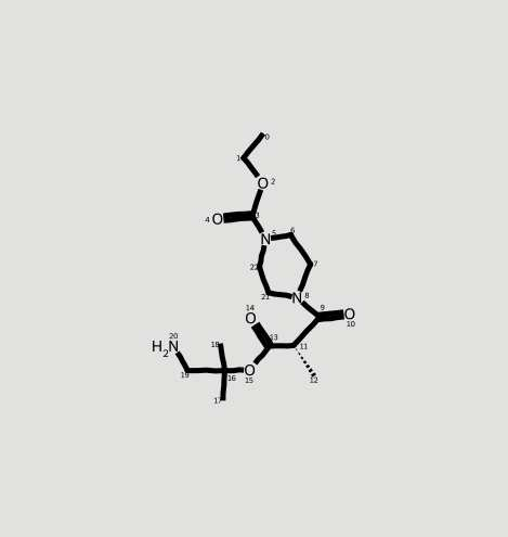 CCOC(=O)N1CCN(C(=O)[C@H](C)C(=O)OC(C)(C)CN)CC1